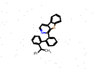 CC(C)C(C)c1ccccc1-c1ccccc1-c1nccc2c1sc1ccccc12